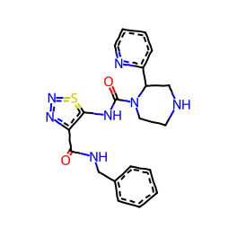 O=C(NCc1ccccc1)c1nnsc1NC(=O)N1CCNCC1c1ccccn1